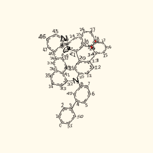 c1ccc(-c2cccc(N(c3ccc(-c4ccccc4)c(-c4cccc5ccccc45)c3)c3cccc4cc5c(cc34)oc3ncccc35)c2)cc1